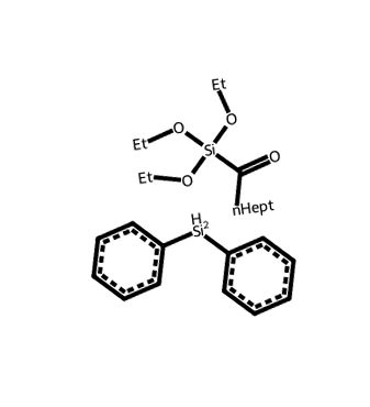 CCCCCCCC(=O)[Si](OCC)(OCC)OCC.c1ccc([SiH2]c2ccccc2)cc1